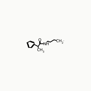 [CH2]CCCNC(=O)C(C)c1ccccc1